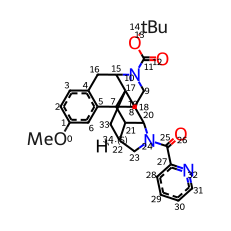 COc1ccc2c(c1)C13CCN(C(=O)OC(C)(C)C)C(C2)C12CCC1C3[C@@H](CN1C(=O)c1ccccn1)C2